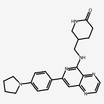 O=C1CCC(CNc2nc(-c3ccc(N4CCCC4)cc3)cc3nccnc23)CN1